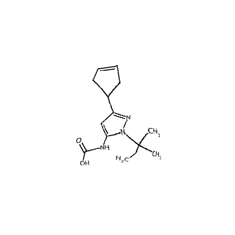 CC(C)(C)n1nc(C2CC=CC2)cc1NC(=O)O